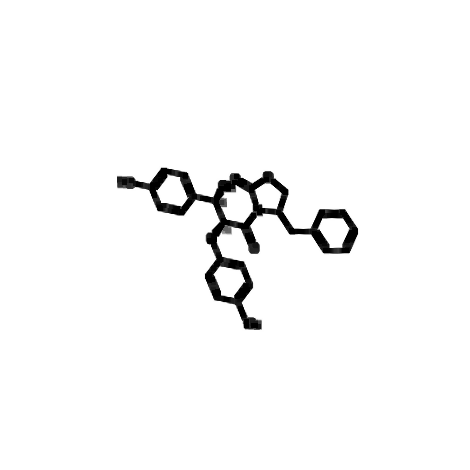 CC(C)(C)c1ccc(O[C@H](C(=O)N2C(=O)OCC2Cc2ccccc2)[C@H](O)c2ccc(O)cc2)cc1